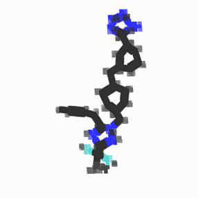 CC#CCc1nc(C(F)(F)CCC)nn1Cc1ccc(Cc2cccc(-c3nnn[nH]3)c2)cc1